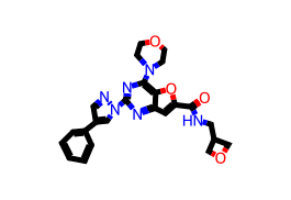 O=C(NCC1COC1)c1cc2nc(-n3cc(-c4ccccc4)cn3)nc(N3CCOCC3)c2o1